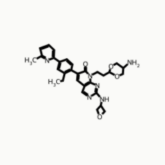 CCc1cc(-c2cccc(C)n2)ccc1-c1cc2cnc(NC3COC3)nc2n(CCC2OCC(N)CO2)c1=O